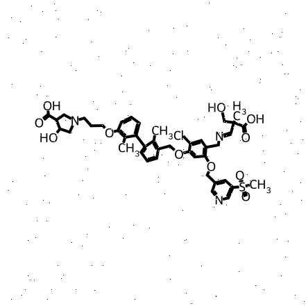 Cc1c(COc2cc(OCc3cncc(S(C)(=O)=O)c3)c(C/N=C/[C@](C)(CO)C(=O)O)cc2Cl)cccc1-c1cccc(OCCCN2CC(O)C(C(=O)O)C2)c1C